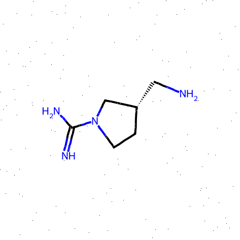 N=C(N)N1CC[C@@H](CN)C1